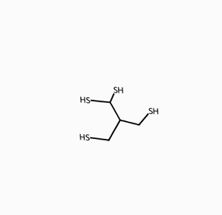 SCC(CS)C(S)S